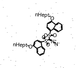 CCCCCCCOc1ccc(S(=O)(=O)C(=[N+]=[N-])S(=O)(=O)c2ccc(OCCCCCCC)c3ccccc23)c2ccccc12